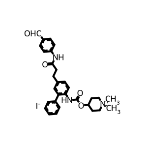 C[N+]1(C)CCC(OC(=O)Nc2ccc(CCC(=O)Nc3ccc(C=O)cc3)cc2-c2ccccc2)CC1.[I-]